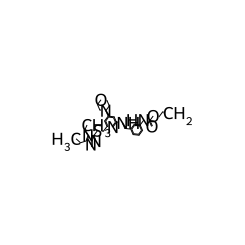 C=CCOC(=O)Nc1cccc(CNc2cc(N3CCOCC3)cc(CSc3nnc(CC)n3CC)n2)c1